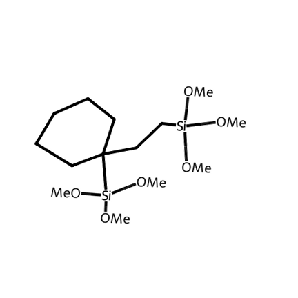 CO[Si](CCC1([Si](OC)(OC)OC)CCCCC1)(OC)OC